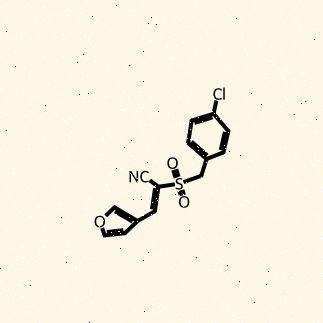 N#CC(=Cc1ccoc1)S(=O)(=O)Cc1ccc(Cl)cc1